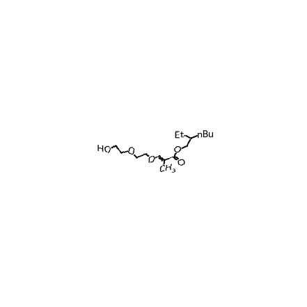 CCCCC(CC)COC(=O)C(C)=COCCOCCO